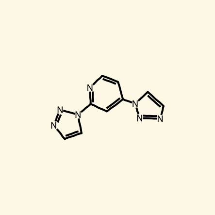 c1cn(-c2ccnc(-n3ccnn3)c2)nn1